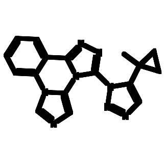 CC1(c2cnnn2-c2nnc3c4ccccc4n4cncc4n23)CC1